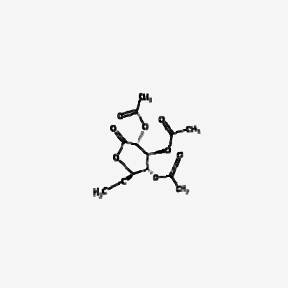 CC[C@H]1OC(=O)[C@H](OC(C)=O)[C@@H](OC(C)=O)[C@@H]1OC(C)=O